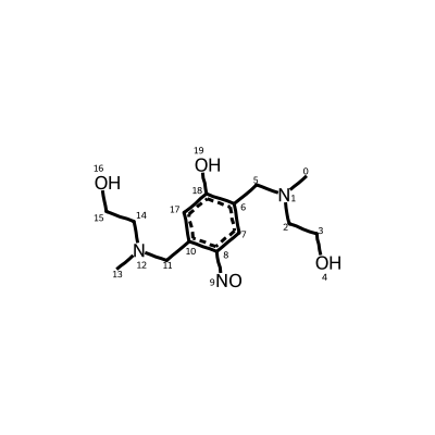 CN(CCO)Cc1cc(N=O)c(CN(C)CCO)cc1O